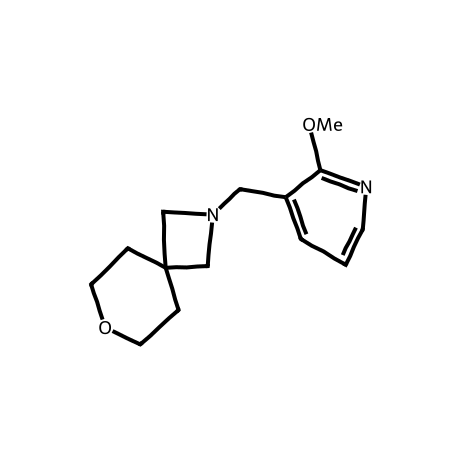 COc1ncccc1CN1CC2(CCOCC2)C1